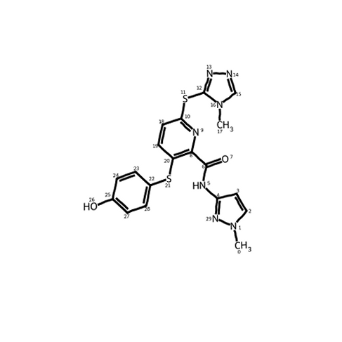 Cn1ccc(NC(=O)c2nc(Sc3nncn3C)ccc2Sc2ccc(O)cc2)n1